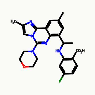 Cc1cc(C(C)Nc2cc(F)ccc2C(=O)O)c2nc(N3CCOCC3)n3cc(C(F)(F)F)nc3c2c1